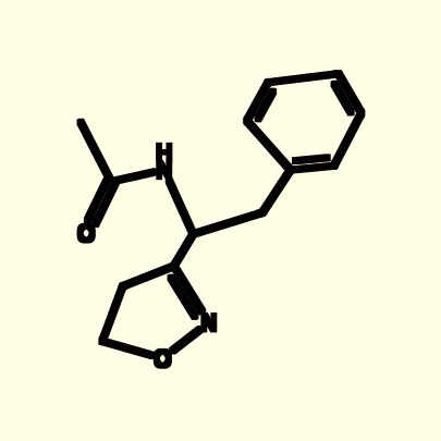 CC(=O)NC(Cc1ccccc1)C1=NOCC1